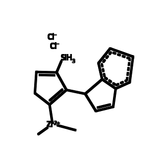 [CH3][Zr+2]([CH3])[C]1=C(C2C=Cc3ccccc32)C([SiH3])=CC1.[Cl-].[Cl-]